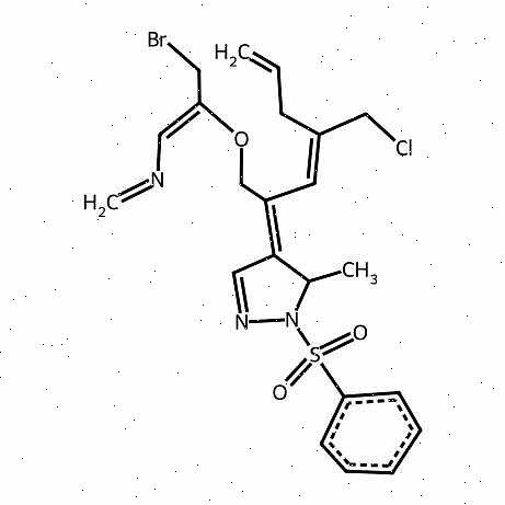 C=CC/C(=C\C(CO/C(=C\N=C)CBr)=C1\C=NN(S(=O)(=O)c2ccccc2)C1C)CCl